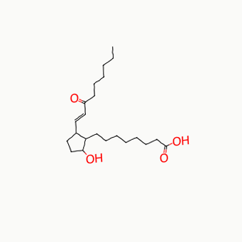 CCCCCCC(=O)/C=C/C1CCC(O)C1CCCCCCCC(=O)O